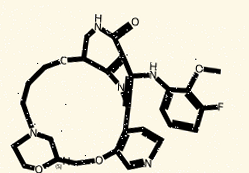 COc1c(F)cccc1Nc1c2[nH]c3c1C(=O)NCC3CCCCN1CCO[C@H](COc3cnccc3-2)C1